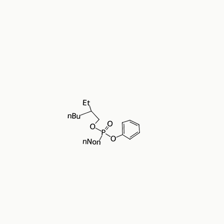 CCCCCCCCCP(=O)(OCC(CC)CCCC)Oc1ccccc1